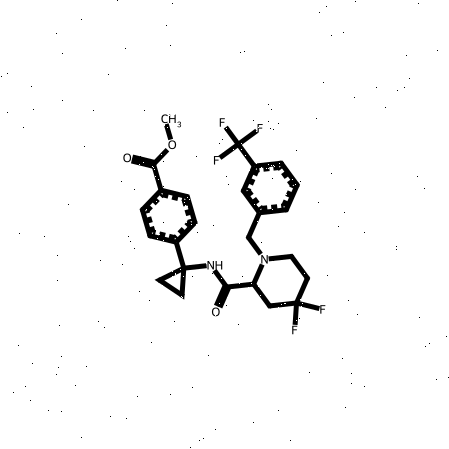 COC(=O)c1ccc(C2(NC(=O)C3CC(F)(F)CCN3Cc3cccc(C(F)(F)F)c3)CC2)cc1